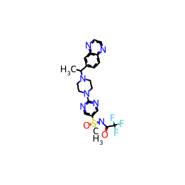 CC(c1ccc2nccnc2c1)N1CCN(c2ncc(S(C)(=O)=NC(=O)C(F)(F)F)cn2)CC1